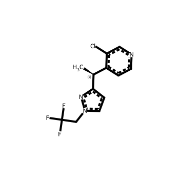 C[C@H](c1ccn(CC(F)(F)F)n1)c1ccncc1Cl